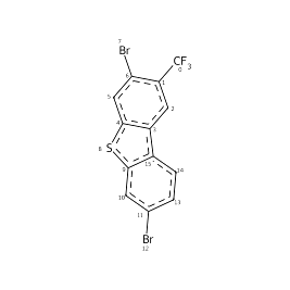 FC(F)(F)c1cc2c(cc1Br)sc1cc(Br)ccc12